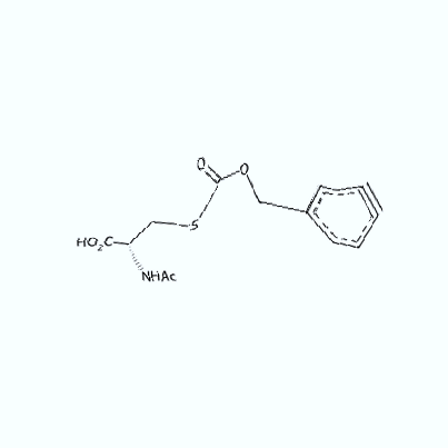 CC(=O)N[C@@H](CSC(=O)OCc1cc#ccc1)C(=O)O